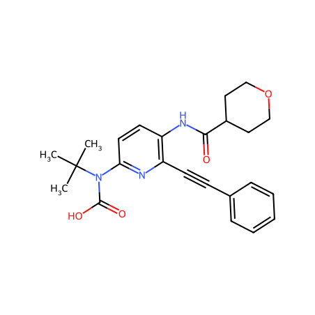 CC(C)(C)N(C(=O)O)c1ccc(NC(=O)C2CCOCC2)c(C#Cc2ccccc2)n1